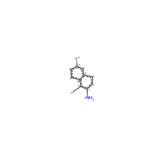 Nc1ccc2cc(F)ccc2c1I